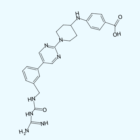 N=C(N)NC(=O)NCc1cccc(-c2cnc(N3CCC(Nc4ccc(C(=O)O)cc4)CC3)nc2)c1